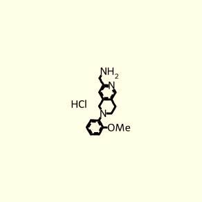 COc1ccccc1N1CCc2cnc(CN)cc2C1.Cl